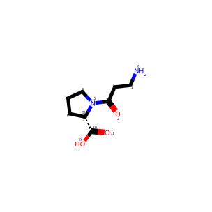 NCCC(=O)N1CCC[C@H]1C(=O)O